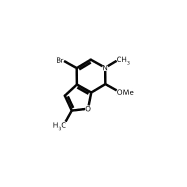 COC1c2oc(C)cc2C(Br)=CN1C